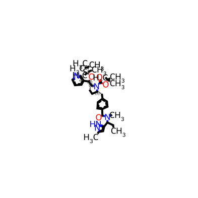 CCC(c1cc(C)n[nH]1)N(C)C(=O)c1ccc(C[C@@H]2CC[C@H]([C@H](O[Si](C)(C)C(C)(C)C)c3cccnc3)N2C(=O)OC(C)(C)C)cc1